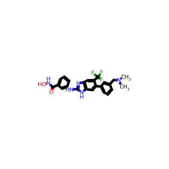 CN(C)Cc1cccc(-c2cc3[nH]c(Nc4cccc(C(=O)NO)c4)nc3cc2C(F)(F)F)c1